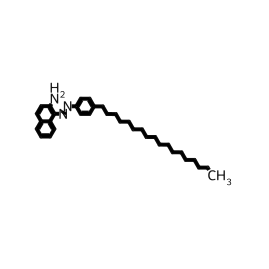 CCCCCCCCCCCCCCCCCCc1ccc(/N=N/c2c(N)ccc3ccccc23)cc1